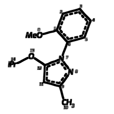 COc1ccccc1-n1nc(C)cc1OC(C)C